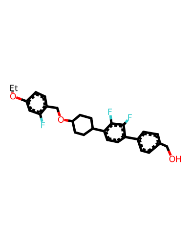 CCOc1ccc(COC2CCC(c3ccc(-c4ccc(CO)cc4)c(F)c3F)CC2)c(F)c1